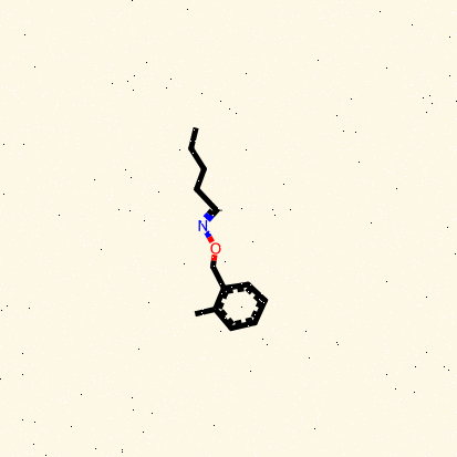 CCCC/[C]=N/OCc1ccccc1C